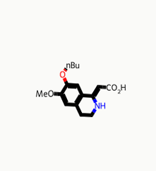 CCCCOc1cc2c(cc1OC)CCNC2=CC(=O)O